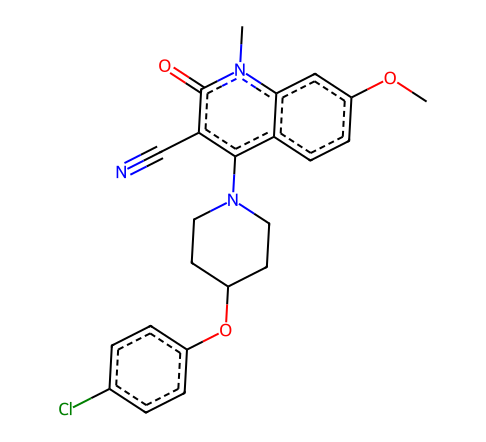 COc1ccc2c(N3CCC(Oc4ccc(Cl)cc4)CC3)c(C#N)c(=O)n(C)c2c1